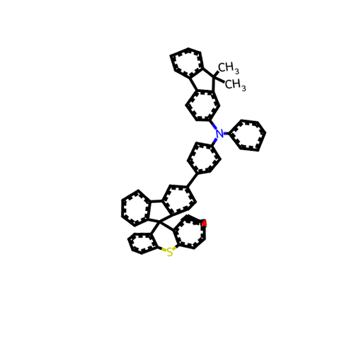 CC1(C)c2ccccc2-c2ccc(N(c3ccccc3)c3ccc(-c4ccc5c(c4)-c4ccccc4C54c5ccccc5Sc5ccc6ccccc6c54)cc3)cc21